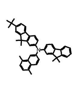 Cc1ccc(C)c2cc(N(c3ccc4c(c3)C(C)(C)c3ccccc3-4)c3ccc4c(c3)C(C)(C)c3cc(C(C)(C)C)ccc3-4)ccc12